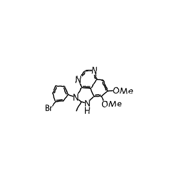 COc1cc2ncnc3c2c(c1OC)NC(C)N3c1cccc(Br)c1